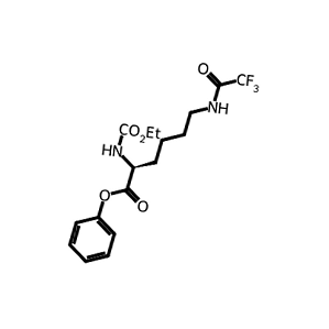 CCOC(=O)N[C@@H](CCCCNC(=O)C(F)(F)F)C(=O)Oc1ccccc1